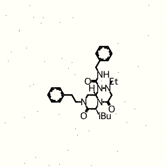 CCC(C)[C@H]1C(=O)N(CCc2ccccc2)C[C@H]2N1C(=O)CN(CC)N2C(=O)NCc1ccccc1